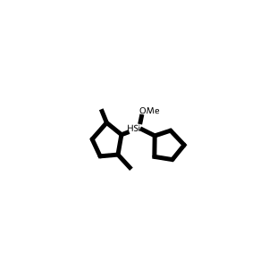 CO[SiH](C1CCCC1)C1C(C)CCC1C